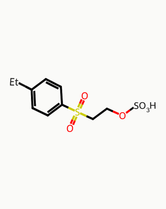 CCc1ccc(S(=O)(=O)CCOS(=O)(=O)O)cc1